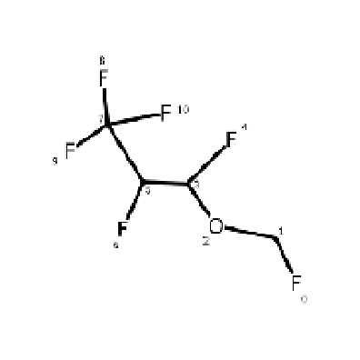 FCOC(F)C(F)C(F)(F)F